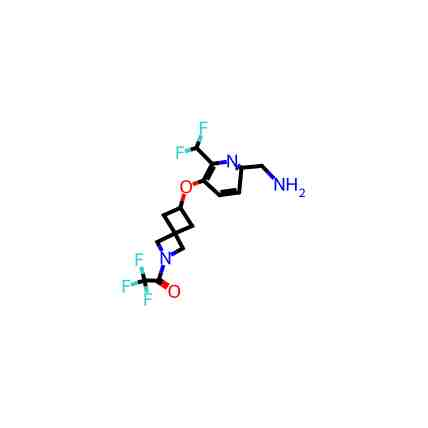 NCc1ccc(OC2CC3(C2)CN(C(=O)C(F)(F)F)C3)c(C(F)F)n1